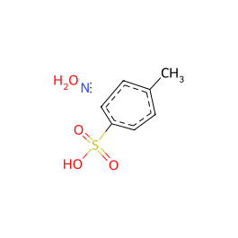 Cc1ccc(S(=O)(=O)O)cc1.O.[N]